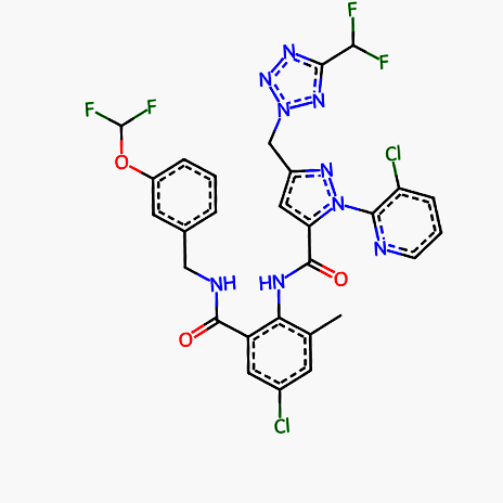 Cc1cc(Cl)cc(C(=O)NCc2cccc(OC(F)F)c2)c1NC(=O)c1cc(Cn2nnc(C(F)F)n2)nn1-c1ncccc1Cl